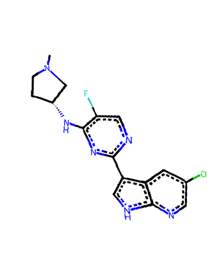 CN1CC[C@@H](Nc2nc(-c3c[nH]c4ncc(Cl)cc34)ncc2F)C1